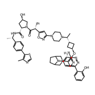 Cc1ncsc1-c1ccc([C@H](C)NC(=O)[C@@H]2C[C@@H](O)CN2C(=O)[C@@H](c2cc(N3CCN(C(C)[C@H]4C[C@H](Oc5cc(N6C7CCC6CN(c6cc(-c8ccccc8O)nnc6N)C7)ccn5)C4)CC3)no2)C(C)C)cc1